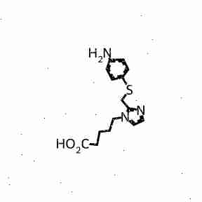 Nc1ccc(SCc2nccn2CCCCC(=O)O)cc1